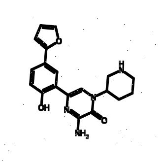 Nc1nc(-c2cc(-c3ccco3)ccc2O)cn(C2CCCNC2)c1=O